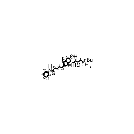 CCCC[C@H](C)C[C@H](O)/C=C/[C@@H]1[C@H]2CC(CCCCC(=O)Nc3ccccc3)=C[C@H]2C[C@H]1O